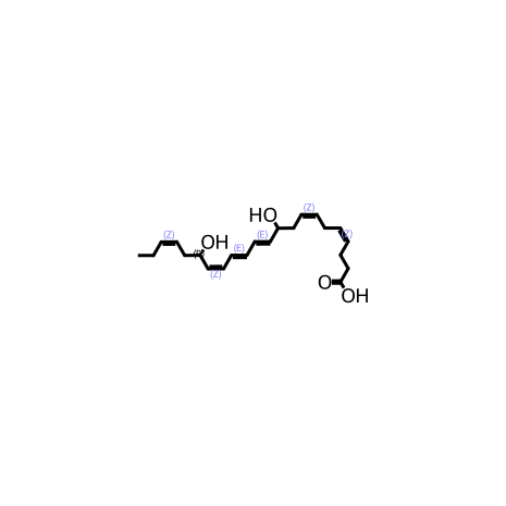 CC/C=C\C[C@@H](O)\C=C/C=C/C=C/C(O)C/C=C\C/C=C\CCC(=O)O